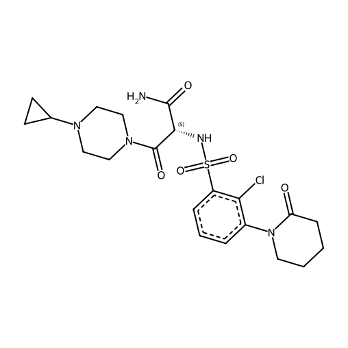 NC(=O)[C@H](NS(=O)(=O)c1cccc(N2CCCCC2=O)c1Cl)C(=O)N1CCN(C2CC2)CC1